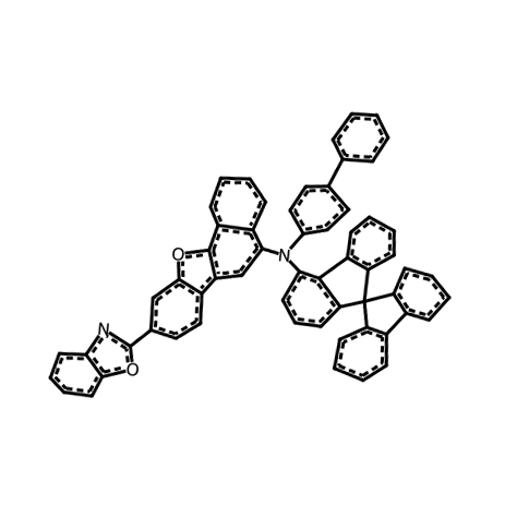 c1ccc(-c2ccc(N(c3cccc4c3-c3ccccc3C43c4ccccc4-c4ccccc43)c3cc4c5ccc(-c6nc7ccccc7o6)cc5oc4c4ccccc34)cc2)cc1